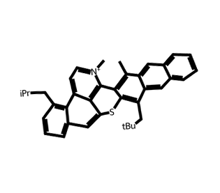 Cc1c2c(c(CC(C)(C)C)c3cc4ccccc4cc13)Sc1cc3cccc(CC(C)C)c3c3cc[n+](C)c-2c13